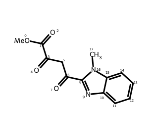 COC(=O)C(=O)CC(=O)c1nc2ccccc2n1C